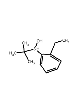 CCc1ccccc1[SiH](O)C(C)(C)C